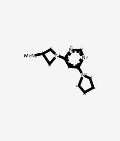 CNC1CN(c2cc(N3CCCC3)ncn2)C1